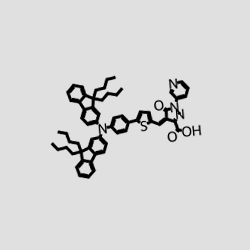 CCCCC1(CCCC)c2ccccc2-c2ccc(N(c3ccc(-c4ccc(/C=C5\C(=O)N(c6cccnc6)N=C5C(=O)O)s4)cc3)c3ccc4c(c3)C(CCCC)(CCCC)c3ccccc3-4)cc21